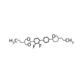 CCCC1CCC(c2ccc(-c3ccc(C4OCC(CCC)CO4)c(F)c3F)cc2)OC1